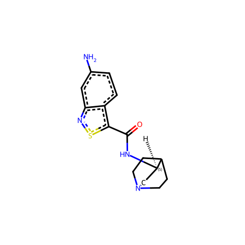 Nc1ccc2c(C(=O)N[C@@H]3CN4CCC3CC4)snc2c1